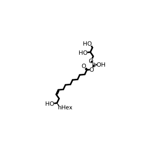 CCCCCC[C@@H](O)C/C=C\CCCCCCCC(=O)OB(O)OCC(O)CO